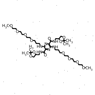 COCCOCCOCCOCCCNc1nc(C(=O)NCC2COC(C)(C)O2)c(NCCCOCCOCCOCCOC)nc1C(=O)NCC1COC(C)(C)O1